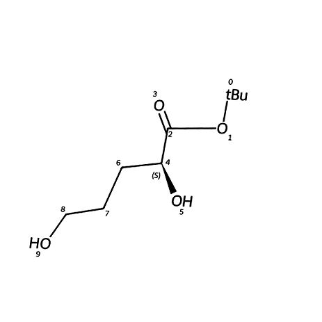 CC(C)(C)OC(=O)[C@@H](O)CCCO